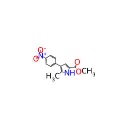 COC(=O)c1cc(-c2ccc([N+](=O)[O-])cc2)c(C)[nH]1